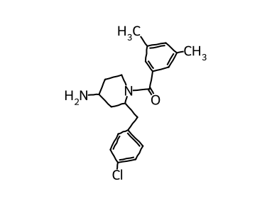 Cc1cc(C)cc(C(=O)N2CCC(N)CC2Cc2ccc(Cl)cc2)c1